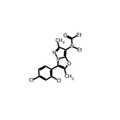 CCC(=O)N(CC)c1c(C)nn2c(-c3ccc(Cl)cc3Cl)c(C)oc12